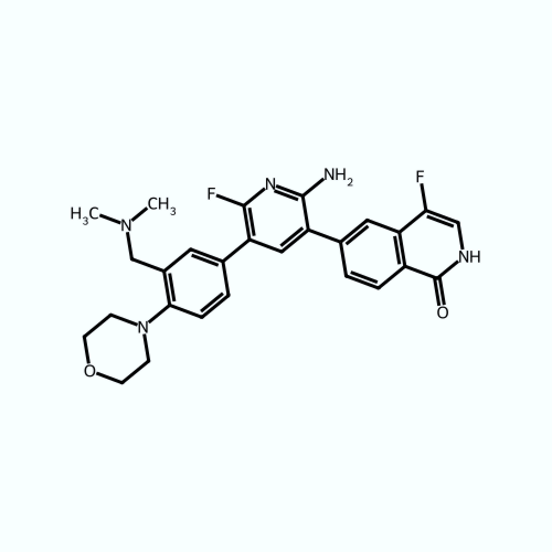 CN(C)Cc1cc(-c2cc(-c3ccc4c(=O)[nH]cc(F)c4c3)c(N)nc2F)ccc1N1CCOCC1